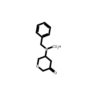 O=C1COCC(N(Cc2ccccc2)C(=O)O)C1